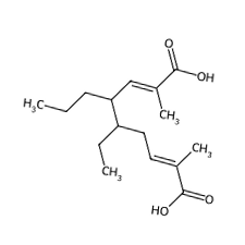 CCCC(/C=C(\C)C(=O)O)C(CC)C/C=C(\C)C(=O)O